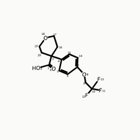 O=C(O)C1(c2ccc(OCC(F)(F)F)cc2)CCOCC1